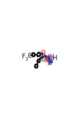 Cc1nc(S(=O)(=O)NCCN(C(=O)c2ccc(-c3ccc(C(F)(F)F)cc3)cc2)[C@@H](Cc2ccc(-c3ccccc3)cc2)C(=O)O)cn1C